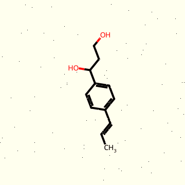 CC=Cc1ccc(C(O)CCO)cc1